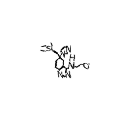 CC[Si](C#CC1(n2ccnc2)C=Cc2ncnc(NCCOC)c2C1)(CC)CC